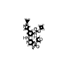 Cn1c(=O)n(C2CCOC2)c2cc(Nc3cc(NC(=O)OC4CCC4)cc(-c4cnn(C5CC5)c4)c3)ncc21